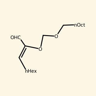 CCCCCCC=C(C=O)OCOCCCCCCCCC